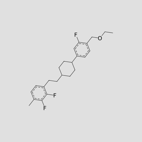 CCOCc1ccc(C2CCC(CCc3ccc(C)c(F)c3F)CC2)cc1F